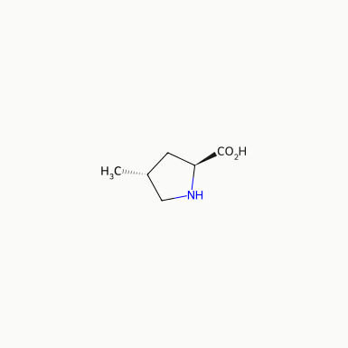 C[C@H]1CN[C@H](C(=O)O)C1